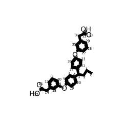 CCCC(c1ccc(Oc2cccc(CC(=O)O)c2)cc1)c1ccc(Oc2cccc(CC(=O)O)c2)cc1